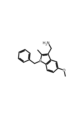 COc1ccc2c(c1)c(CN)c(C)n2Cc1ccccc1